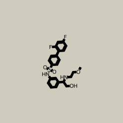 COCCNC(CO)c1cccc(NS(=O)(=O)c2ccc(-c3ccc(F)cc3F)cc2)c1